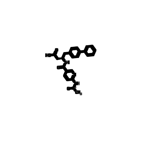 C[S+]([O-])Nc1ccc(C(=O)N[C@@H](CC(=O)O)Cc2ccc(-c3ccccc3)cc2)cn1